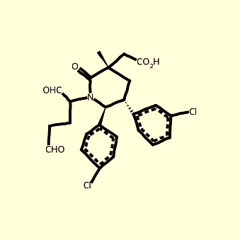 C[C@@]1(CC(=O)O)C[C@H](c2cccc(Cl)c2)[C@@H](c2ccc(Cl)cc2)N(C(C=O)CCC=O)C1=O